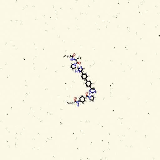 COC(=O)N[C@H](C(=O)N1CCC[C@H]1c1ncc(-c2ccc(-c3ccc(-c4cnc([C@@H]5CCCN5C(=O)[C@H]5CC[C@H](NC(=O)OC)CC5)[nH]4)cc3)cc2)[nH]1)C(C)C